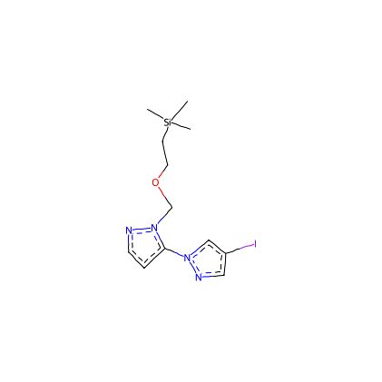 C[Si](C)(C)CCOCn1nccc1-n1cc(I)cn1